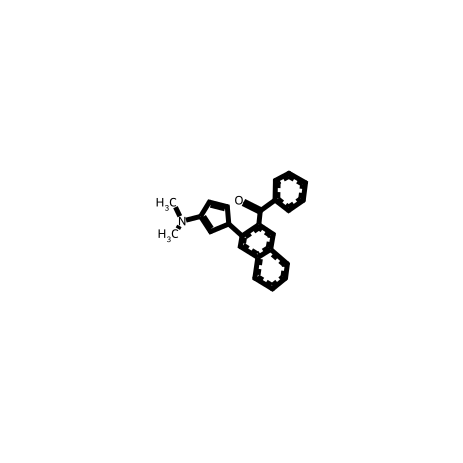 CN(C)C1=CC(c2cc3ccccc3cc2C(=O)c2ccccc2)C=C1